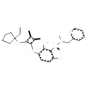 CCC1(Nc2c(Nc3ccc(Cl)c(S(=O)(=O)N(C)Cc4ccccn4)c3O)c(=O)c2=O)CCCC1